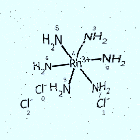 [Cl-].[Cl-].[Cl-].[NH2][Rh+3]([NH2])([NH2])([NH2])([NH2])[NH2]